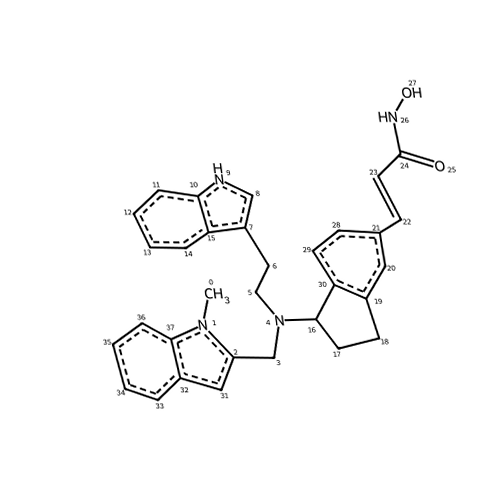 Cn1c(CN(CCc2c[nH]c3ccccc23)C2CCc3cc(/C=C/C(=O)NO)ccc32)cc2ccccc21